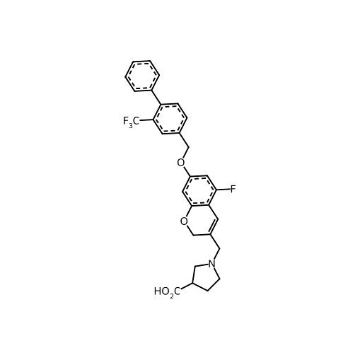 O=C(O)C1CCN(CC2=Cc3c(F)cc(OCc4ccc(-c5ccccc5)c(C(F)(F)F)c4)cc3OC2)C1